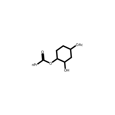 CCCC(=O)OC1CCC(OC(C)=O)CC1O